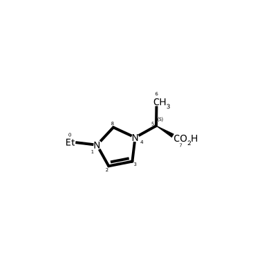 CCN1C=CN([C@@H](C)C(=O)O)C1